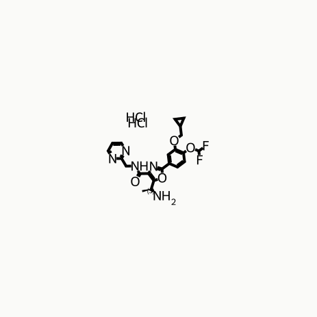 C[C@H](N)c1oc(-c2ccc(OC(F)F)c(OCC3CC3)c2)nc1C(=O)NCc1ncccn1.Cl.Cl